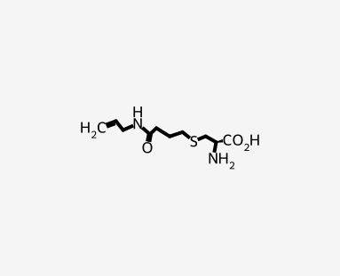 C=CCNC(=O)CCCSC[C@H](N)C(=O)O